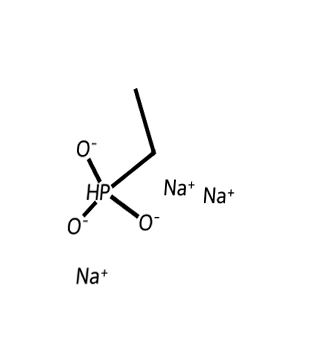 CC[PH]([O-])([O-])[O-].[Na+].[Na+].[Na+]